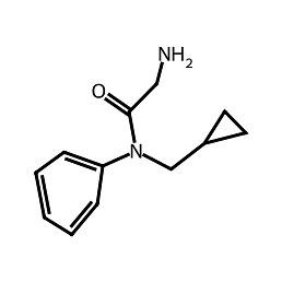 NCC(=O)N(CC1CC1)c1ccccc1